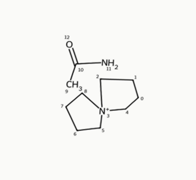 C1CC[N+]2(C1)CCCC2.CC(N)=O